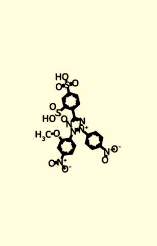 COc1cc([N+](=O)[O-])ccc1-n1nc(-c2ccc(S(=O)(=O)O)cc2S(=O)(=O)O)n[n+]1-c1ccc([N+](=O)[O-])cc1